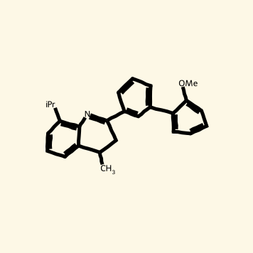 COc1ccccc1-c1cccc(C2=Nc3c(C(C)C)cccc3C(C)C2)c1